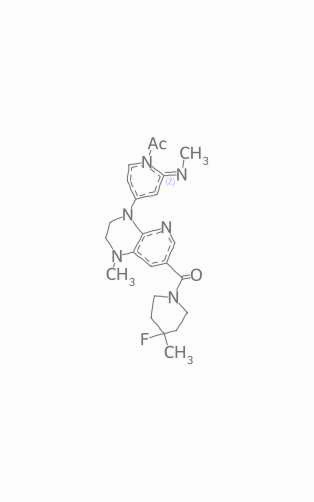 C/N=c1/cc(N2CCN(C)c3cc(C(=O)N4CCC(C)(F)CC4)cnc32)ccn1C(C)=O